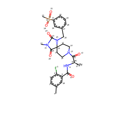 Cc1ccc(F)c(C(=O)N[C@@H](C(=O)N2CCC3(CC2)C(=O)N(C)C(=O)N3Cc2cccc(S(C)(=O)=O)c2)C(C)C)c1